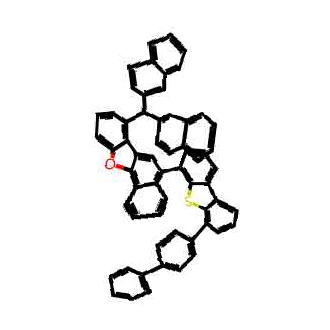 c1ccc(-c2ccc(-c3cccc4c3sc3c(-c5cc6c(oc7cccc(C(c8ccc9ccccc9c8)c8ccc9ccccc9c8)c76)c6ccccc56)cccc34)cc2)cc1